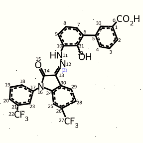 O=C(O)c1cccc(-c2cccc(N/N=C3\C(=O)N(c4cccc(C(F)(F)F)c4)c4cc(C(F)(F)F)ccc43)c2O)c1